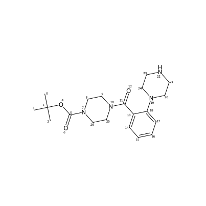 CC(C)(C)OC(=O)N1CCN(C(=O)c2ccccc2N2CCNCC2)CC1